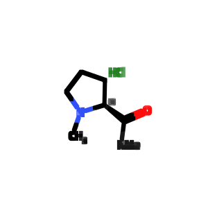 CNC(=O)[C@@H]1CCCN1C.Cl